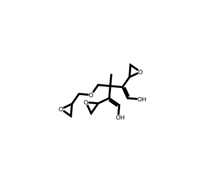 CC(COCC1CO1)(C(=CO)C1CO1)C(=CO)C1CO1